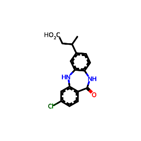 CC(CC(=O)O)c1ccc2c(c1)Nc1cc(Cl)ccc1C(=O)N2